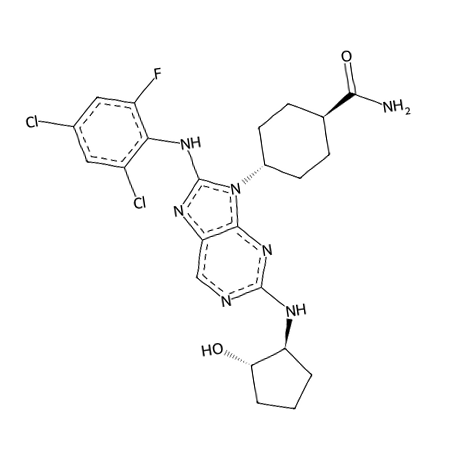 NC(=O)[C@H]1CC[C@H](n2c(Nc3c(F)cc(Cl)cc3Cl)nc3cnc(N[C@H]4CCC[C@@H]4O)nc32)CC1